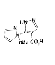 CCCC[N+]1(c2[nH]ncc2C(=O)O)C=CC=N1